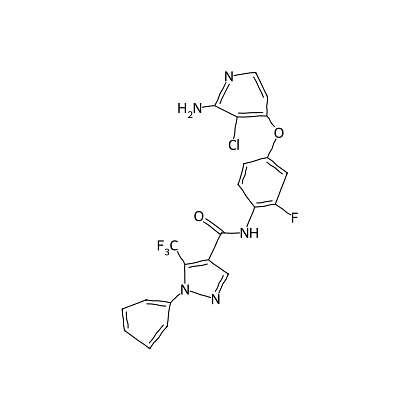 Nc1nccc(Oc2ccc(NC(=O)c3cnn(-c4ccccc4)c3C(F)(F)F)c(F)c2)c1Cl